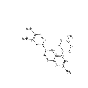 COc1ccc(-c2ccc3nc(N)nc(N4CCN(C)CC4)c3n2)cc1OC